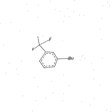 CCC(C)c1cccc(C(C)(F)F)c1